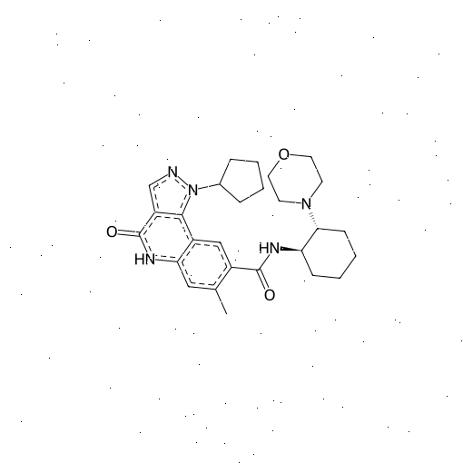 Cc1cc2[nH]c(=O)c3cnn(C4CCCC4)c3c2cc1C(=O)N[C@@H]1CCCC[C@H]1N1CCOCC1